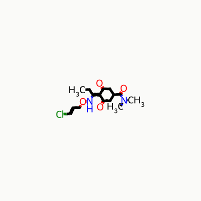 CCC(NOCC=CCl)=C1C(=O)CC(C(=O)N(C)C)CC1=O